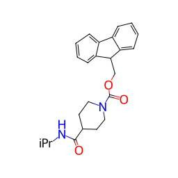 CC(C)NC(=O)C1CCN(C(=O)OCC2c3ccccc3-c3ccccc32)CC1